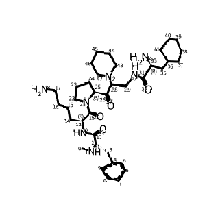 CN[C@@H](Cc1ccccc1)C(=O)N[C@@H](CCCCN)C(=O)N1CCC[C@H]1C(=O)C(CNC(=O)[C@H](N)CC1CCCCC1)N1CCCCC1